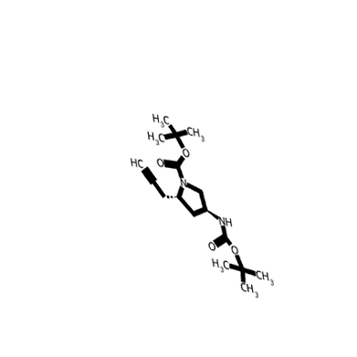 C#CC[C@H]1C[C@H](NC(=O)OC(C)(C)C)CN1C(=O)OC(C)(C)C